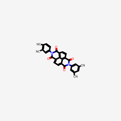 N#Cc1cc(C#N)cc(N2C(=O)c3ccc4c5c(ccc(c35)C2=O)C(=O)N(c2ccc(C#N)c(C#N)c2)C4=O)c1